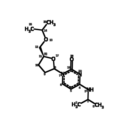 CC(C)Nc1ccn(C2CC[C@@H](COC(C)C)O2)c(=O)n1